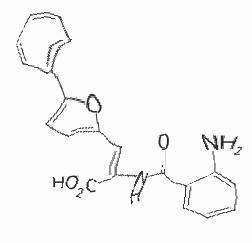 Nc1ccccc1C(=O)NC(=Cc1ccc(-c2ccccc2)o1)C(=O)O